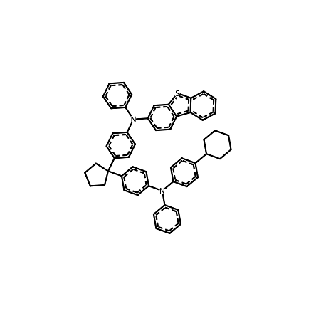 c1ccc(N(c2ccc(C3CCCCC3)cc2)c2ccc(C3(c4ccc(N(c5ccccc5)c5ccc6c(c5)sc5ccccc56)cc4)CCCC3)cc2)cc1